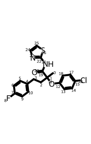 CC(CCc1ccc(F)cc1)(Oc1ccc(Cl)cc1)C(=O)Nc1nccs1